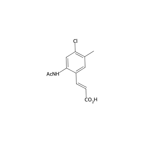 CC(=O)Nc1cc(Cl)c(C)cc1/C=C/C(=O)O